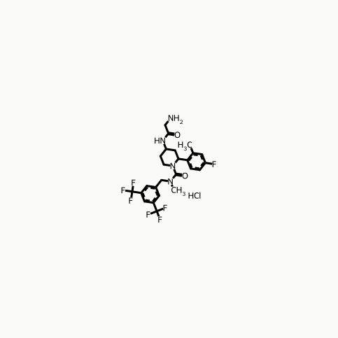 Cc1cc(F)ccc1C1CC(NC(=O)CN)CCN1C(=O)N(C)Cc1cc(C(F)(F)F)cc(C(F)(F)F)c1.Cl